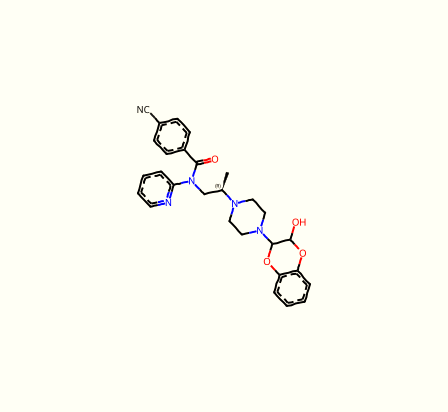 C[C@H](CN(C(=O)c1ccc(C#N)cc1)c1ccccn1)N1CCN(C2Oc3ccccc3OC2O)CC1